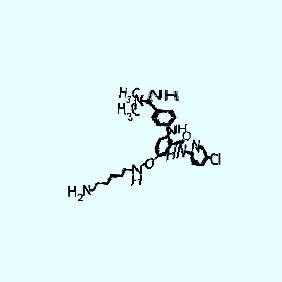 CN(C)C(=N)c1ccc(Nc2ccc(OCNCCCCCCN)cc2C(=O)Nc2ccc(Cl)cn2)cc1